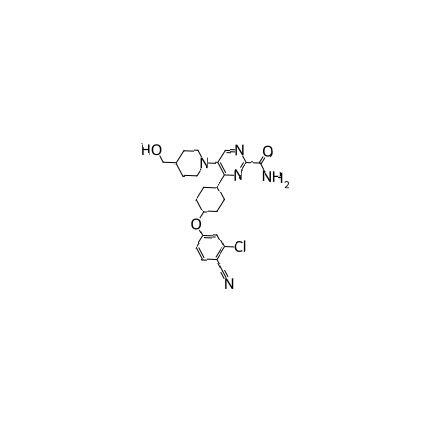 N#Cc1ccc(OC2CCC(c3nc(C(N)=O)ncc3N3CCC(CO)CC3)CC2)cc1Cl